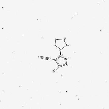 N#Cc1c(Br)cnn1[C@H]1CCOC1